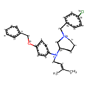 CC(C)=CCN(c1ccc(OCc2ccccc2)cc1)C1CCCN(Cc2ccc(Cl)cc2)C1